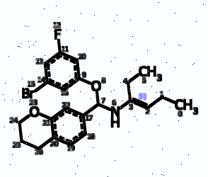 CC/C=C(\CC)NC(Oc1cc(F)cc(Br)c1)c1ccc2c(c1)OCCC2